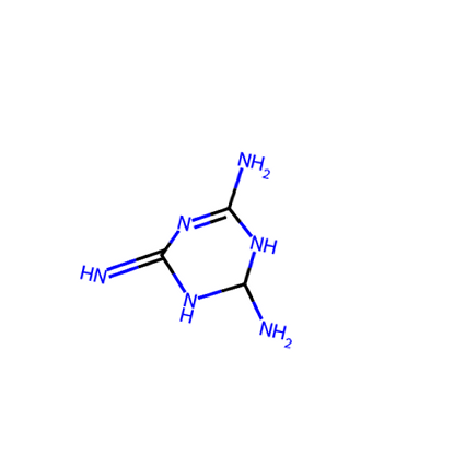 N=C1N=C(N)NC(N)N1